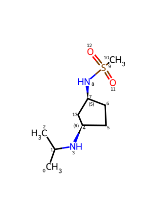 CC(C)N[C@@H]1CC[C@H](NS(C)(=O)=O)C1